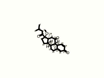 CO[C@]1(C(=O)CC(C)C)CC[C@H]2[C@@H]3CCC4=CC(=O)C=C[C@]4(C)[C@H]3C(=O)C[C@@]21C